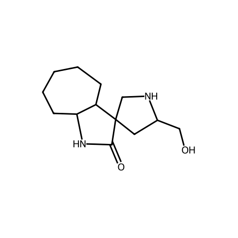 O=C1NC2CCCCCC2C12CNC(CO)C2